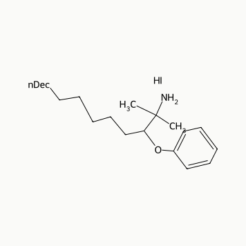 CCCCCCCCCCCCCCCC(Oc1ccccc1)C(C)(C)N.I